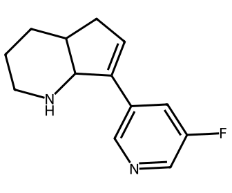 Fc1cncc(C2=CCC3CCCNC23)c1